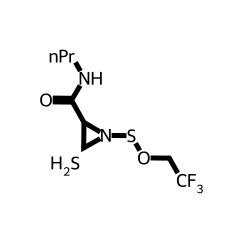 CCCNC(=O)C1CN1SOCC(F)(F)F.S